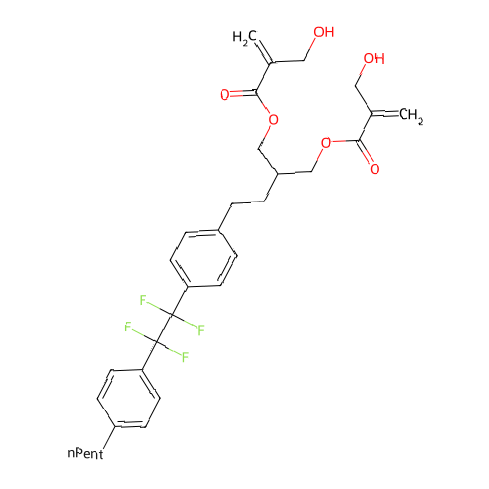 C=C(CO)C(=O)OCC(CCc1ccc(C(F)(F)C(F)(F)c2ccc(CCCCC)cc2)cc1)COC(=O)C(=C)CO